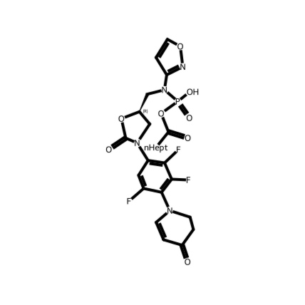 CCCCCCCC(=O)OP(=O)(O)N(C[C@H]1CN(c2cc(F)c(N3C=CC(=O)CC3)c(F)c2F)C(=O)O1)c1ccon1